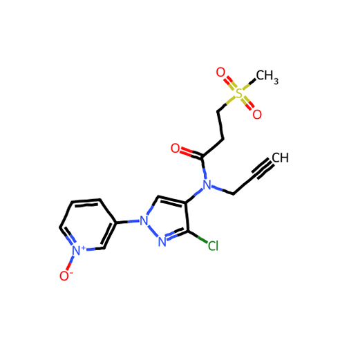 C#CCN(C(=O)CCS(C)(=O)=O)c1cn(-c2ccc[n+]([O-])c2)nc1Cl